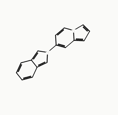 c1ccc2cn(-c3ccn4cccc4c3)cc2c1